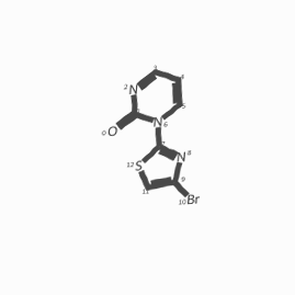 O=c1ncccn1-c1nc(Br)cs1